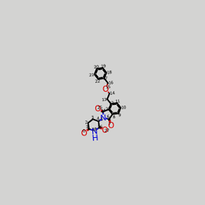 O=C1CCC(N2C(=O)c3cccc(CCOCc4ccccc4)c3C2=O)C(=O)N1